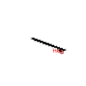 C=CCC(CC=CCC=CCC=CCC=CCC=CCC=CCC)C(=O)O